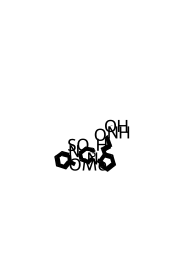 COc1ccccc1N(C1CCN(c2ccccc2/C=C/C(=O)NO)CC1)S(=O)(=O)O